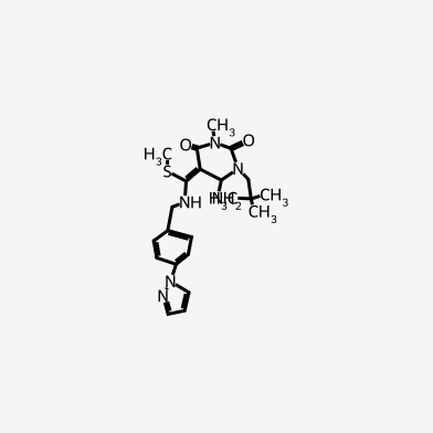 CS/C(NCc1ccc(-n2cccn2)cc1)=C1\C(=O)N(C)C(=O)N(CC(C)(C)C)C1N